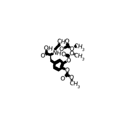 COC(=O)Oc1ccc(C[C@H](NCC(C)OC(=O)OC)C(=O)O)cc1OC(=O)OC